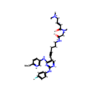 COc1ccc(Nc2nc(Nc3ccc(F)cc3)ncc2C#CCCCNC(=O)CN(C)C(=O)/C=C/CN(C)C)cn1